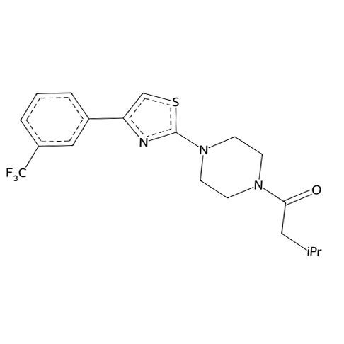 CC(C)CC(=O)N1CCN(c2nc(-c3cccc(C(F)(F)F)c3)cs2)CC1